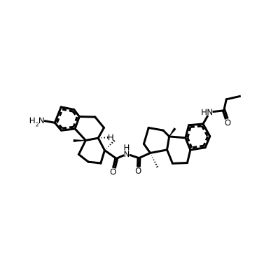 CCC(=O)Nc1ccc2c(c1)[C@@]1(C)CCC[C@](C)(C(=O)NC(=O)[C@@]3(C)CCC[C@]4(C)c5cc(N)ccc5CC[C@@H]34)C1CC2